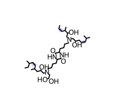 C/C=C\C(C)C(O)CN(CCCCC1NC(=O)C(CCCCN(CC(O)O)CC(O)CC(C)/C=C\C(C)CC)NC1=O)CC(O)C/C=C\C(C)C